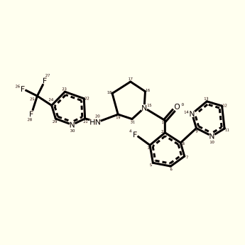 O=C(c1c(F)cccc1-c1ncccn1)N1CCCC(Nc2ccc(C(F)(F)F)cn2)C1